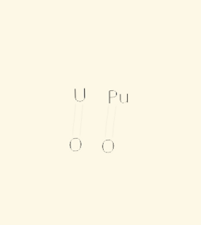 [O]=[Pu].[O]=[U]